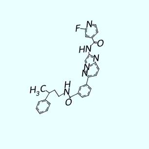 CC(CCNC(=O)c1cccc(-c2ccc3nc(NC(=O)c4ccnc(F)c4)cn3n2)c1)c1ccccc1